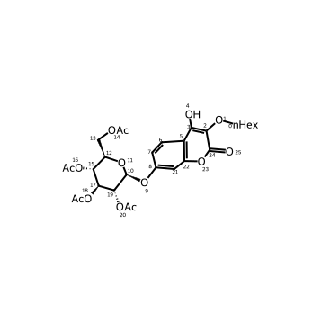 CCCCCCOc1c(O)c2ccc(O[C@@H]3O[C@H](COC(C)=O)[C@@H](OC(C)=O)[C@H](OC(C)=O)[C@H]3OC(C)=O)cc2oc1=O